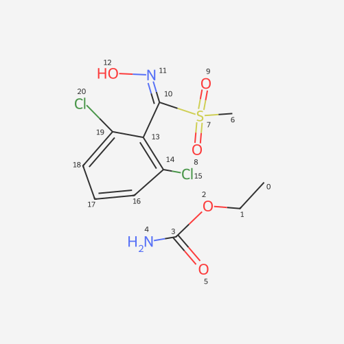 CCOC(N)=O.CS(=O)(=O)/C(=N/O)c1c(Cl)cccc1Cl